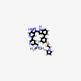 CN(C)Cc1cncc(-c2cc3c(-c4cc5c(-c6cc(F)cc(OCCN7CCCC7)c6)cccc5[nH]4)n[nH]c3cn2)c1